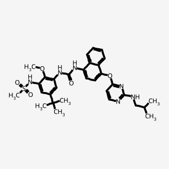 COc1c(NC(=O)Nc2ccc(Oc3ccnc(NCC(C)C)n3)c3ccccc23)cc(C(C)(C)C)cc1NS(C)(=O)=O